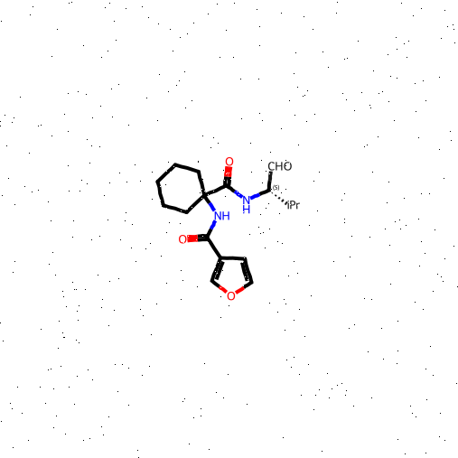 CC(C)[C@@H](C=O)NC(=O)C1(NC(=O)c2ccoc2)CCCCC1